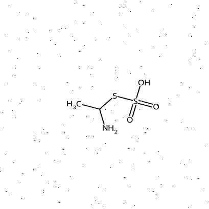 CC(N)SS(=O)(=O)O